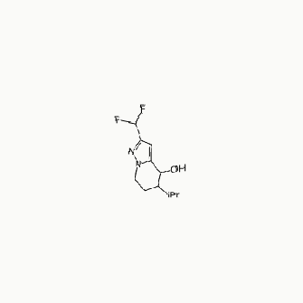 CC(C)C1CCn2nc(C(F)F)cc2C1O